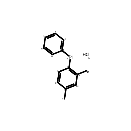 Cc1ccc(Pc2ccccc2)c(C)c1.Cl